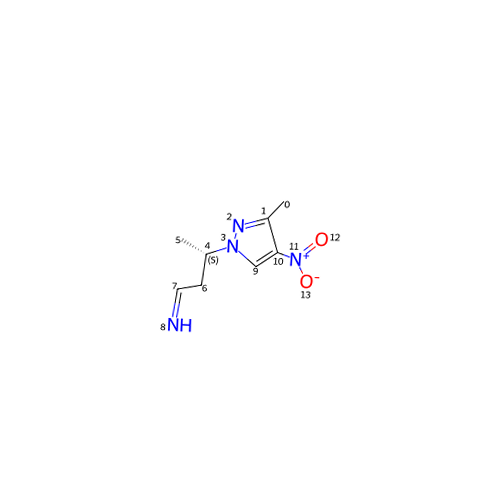 Cc1nn([C@@H](C)CC=N)cc1[N+](=O)[O-]